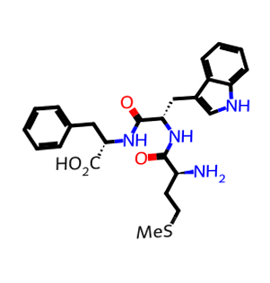 CSCC[C@H](N)C(=O)N[C@@H](Cc1c[nH]c2ccccc12)C(=O)N[C@@H](Cc1ccccc1)C(=O)O